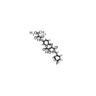 CN(C)C(=O)C(=O)Nc1ccc2nc(C(=O)NCc3ccc(F)cc3)c(O)c(=O)n2c1